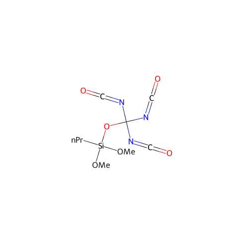 CCC[Si](OC)(OC)OC(N=C=O)(N=C=O)N=C=O